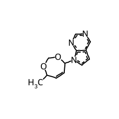 CC1C=CC(n2ccc3cncnc32)OCO1